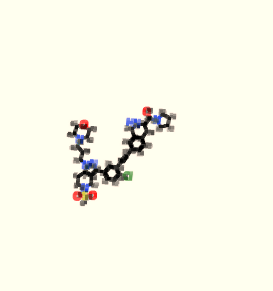 CS(=O)(=O)N1CCc2c(c(-c3ccc(Cl)c(C#Cc4ccc5c(c4)CNC(C(=O)N4CCCC4)C5)c3)nn2CCCN2CCOCC2)C1